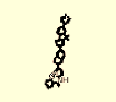 C=C1NC2C=CC(c3ccc4cc(-c5ccc6c(c5)C(C)(C)c5cc(-c7ccncc7)ccc5-6)ccc4c3)=CN2Oc2ccccc21